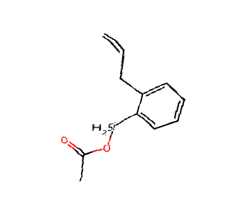 C=CCc1ccccc1[SiH2]OC(C)=O